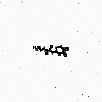 NCCNC(=O)CC1CCC(=O)C(=O)C1